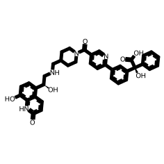 O=C(c1ccc(-c2cccc([C@](O)(C(=O)O)c3ccccc3)c2)nc1)N1CCC(CNC[C@H](O)c2ccc(O)c3[nH]c(=O)ccc23)CC1